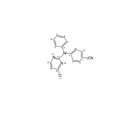 N#Cc1ccc(N(c2ccccc2)c2nccc(Cl)n2)cc1